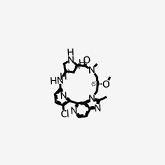 CO[C@H]1CN(C)C(=O)[C@@H]2C[C@@H](CN2)Nc2ccc(Cl)c(n2)-c2nccc3nc(C)n(c23)C1